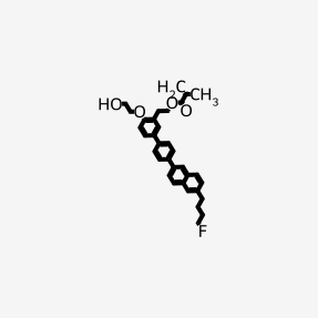 C=C(C)C(=O)OCCc1cc(-c2ccc(-c3ccc4cc(CCCCF)ccc4c3)cc2)ccc1OCCO